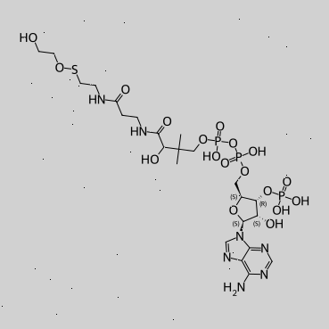 CC(C)(COP(=O)(O)OP(=O)(O)OC[C@@H]1O[C@H](n2cnc3c(N)ncnc32)[C@@H](O)[C@H]1OP(=O)(O)O)C(O)C(=O)NCCC(=O)NCCSOCCO